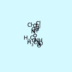 Cc1cc(C2=NOC(c3cc(Cl)cc(Cl)c3)(C(F)(F)F)C2)ccc1C(=O)NC1(C)CS(=O)(=O)C1